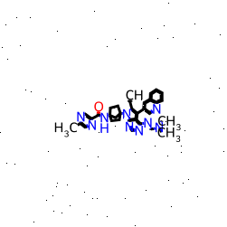 C#Cc1c(-c2cnc3ccccc3c2)c2c(/N=C/N(C)C)ncnc2n1C12CCC(NC(=O)c3cnc(C)cn3)(CC1)C2